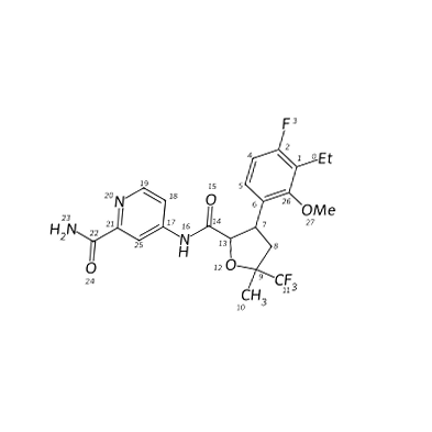 CCc1c(F)ccc(C2CC(C)(C(F)(F)F)OC2C(=O)Nc2ccnc(C(N)=O)c2)c1OC